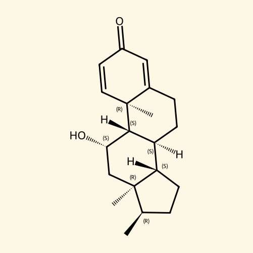 C[C@@H]1CC[C@H]2[C@@H]3CCC4=CC(=O)C=C[C@]4(C)[C@H]3[C@@H](O)C[C@]12C